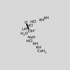 Cl.Cl.Cl.O.[CaH2].[KH].[KH].[KH].[KH].[LiH].[NaH].[O-][ClH+]